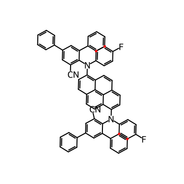 N#Cc1cc(-c2ccccc2)cc(-c2ccccc2)c1N(c1ccc(F)cc1)c1ccc2ccc3c(N(c4ccc(F)cc4)c4c(C#N)cc(-c5ccccc5)cc4-c4ccccc4)ccc4ccc1c2c43